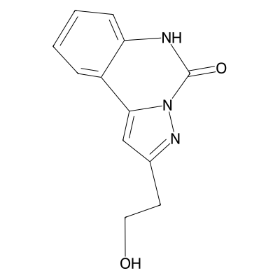 O=c1[nH]c2ccccc2c2cc(CCO)nn12